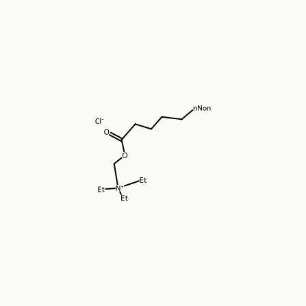 CCCCCCCCCCCCCC(=O)OC[N+](CC)(CC)CC.[Cl-]